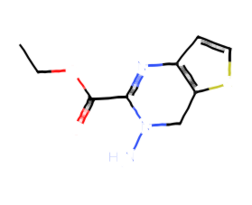 CCOC(=O)C1=Nc2ccsc2CN1N